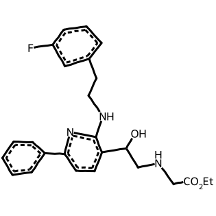 CCOC(=O)CNCC(O)c1ccc(-c2ccccc2)nc1NCCc1cccc(F)c1